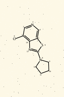 Clc1cncc2sc(N3CCCC3)nc12